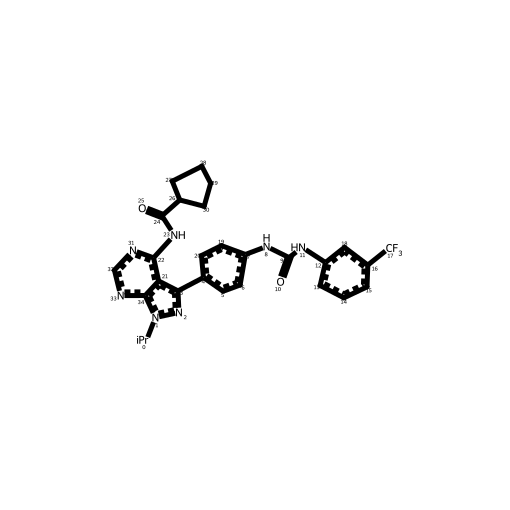 CC(C)n1nc(-c2ccc(NC(=O)Nc3cccc(C(F)(F)F)c3)cc2)c2c(NC(=O)C3CCCC3)ncnc21